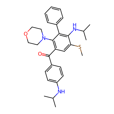 CSc1cc(C(=O)c2ccc(NC(C)C)cc2)c(N2CCOCC2)c(-c2ccccc2)c1NC(C)C